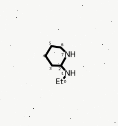 [CH2]CNC1CCCCN1